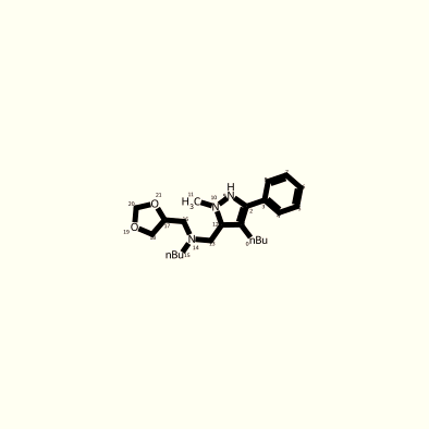 CCCCC1=C(c2ccccc2)NN(C)C1CN(CCCC)CC1COCO1